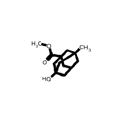 COC(=O)C12CC3CC(C)(CC(O)(C3)C1)C2